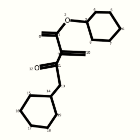 C=C(OC1CCCCC1)C(=C)C(=O)CC1CCCCC1